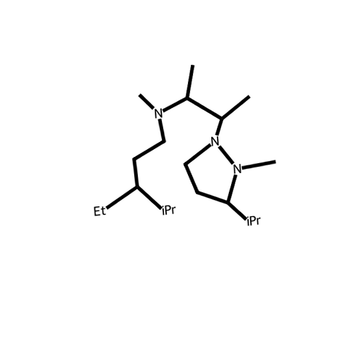 CCC(CCN(C)C(C)C(C)N1CCC(C(C)C)N1C)C(C)C